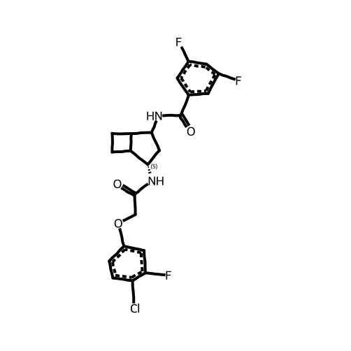 O=C(COc1ccc(Cl)c(F)c1)N[C@H]1CC(NC(=O)c2cc(F)cc(F)c2)C2CCC21